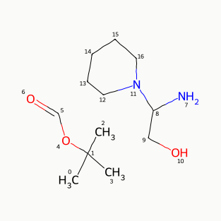 CC(C)(C)OC=O.NC(CO)N1CCCCC1